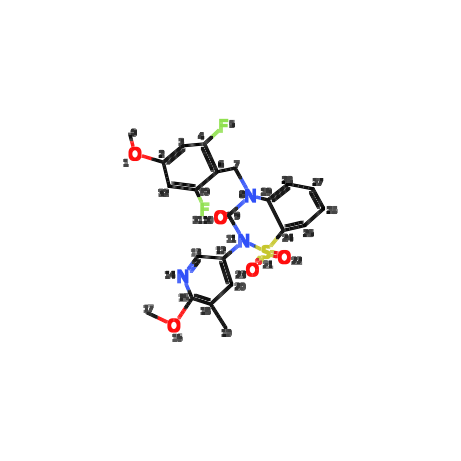 COc1cc(F)c(CN2C(=O)N(c3cnc(OC)c(C)c3)S(=O)(=O)c3ccccc32)c(F)c1